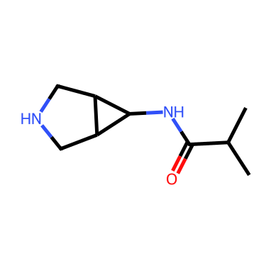 CC(C)C(=O)NC1C2CNCC21